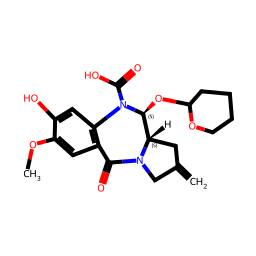 C=C1C[C@H]2[C@H](OC3CCCCO3)N(C(=O)O)c3cc(O)c(OC)cc3C(=O)N2C1